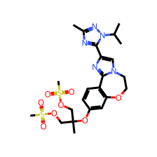 Cc1nc(-c2cn3c(n2)-c2ccc(OC(C)(COS(C)(=O)=O)COS(C)(=O)=O)cc2OCC3)n(C(C)C)n1